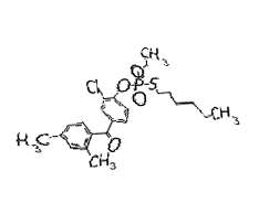 CCCCCCSP(=O)(OCC)Oc1ccc(C(=O)c2ccc(C)cc2C)cc1Cl